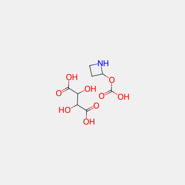 O=C(O)C(O)C(O)C(=O)O.O=C(O)OC1CCN1